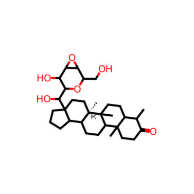 CC1C(=O)CCC2(C)C1CCC1(C)C2CCC2C3CCCC3(C(O)C3OC(CO)C4OC4C3O)CC[C@]21C